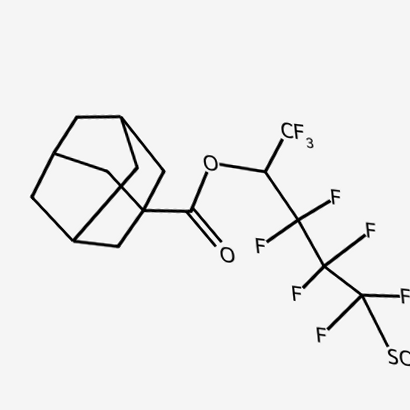 O=C(OC(C(F)(F)F)C(F)(F)C(F)(F)C(F)(F)S(=O)(=O)O)C12CC3CC(CC(C3)C1)C2